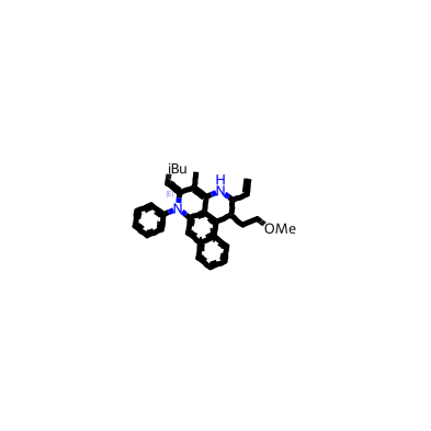 C=CC1NC2=C(C)/C(=C\C(C)CC)N(c3ccccc3)c3cc4ccccc4c(c32)C1CCOC